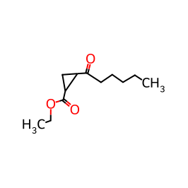 CCCCCC(=O)C1CC1C(=O)OCC